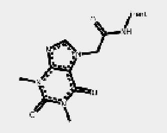 CCCC(C)NC(=O)Cn1cnc2c1c(=O)n(C)c(=O)n2C